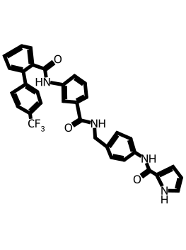 O=C(NCc1ccc(NC(=O)c2ccc[nH]2)cc1)c1cccc(NC(=O)c2ccccc2-c2ccc(C(F)(F)F)cc2)c1